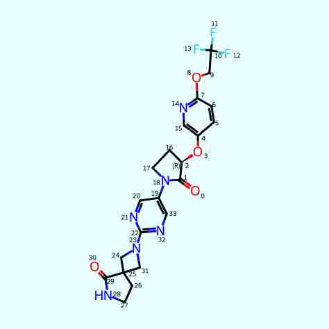 O=C1[C@H](Oc2ccc(OCC(F)(F)F)nc2)CCN1c1cnc(N2CC3(CCNC3=O)C2)nc1